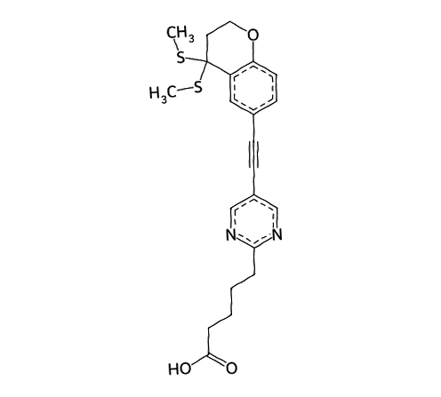 CSC1(SC)CCOc2ccc(C#Cc3cnc(CCCCC(=O)O)nc3)cc21